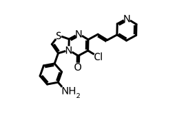 Nc1cccc(-c2csc3nc(/C=C/c4cccnc4)c(Cl)c(=O)n23)c1